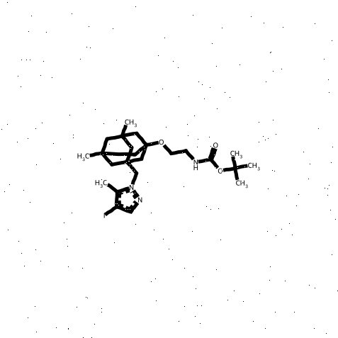 Cc1c(I)cnn1CC12CC3(C)CC(C)(C1)CC(OCCNC(=O)OC(C)(C)C)(C3)C2